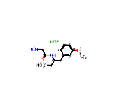 Cl.NCC(=O)NC(CC(=O)O)Cc1cccc(OC(F)(F)F)c1